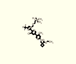 CCOC(=O)C1(COc2cc(C)c(-c3cnc(-c4nc(C(F)(F)F)cn4COCC[Si](C)(C)C)c(Cl)c3)cn2)CCC1